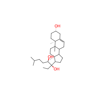 CC[C@@](O)(C1CCC2C3CC=C4C[C@@H](O)CC[C@]4(C)C3(C)CC[C@@]21C)[C@H](O)CCC(C)C